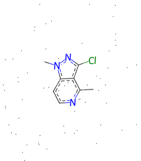 Cc1nccc2c1c(Cl)nn2C